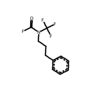 O=C(F)N(CCCc1ccccc1)C(F)(F)F